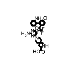 Nc1nc(OC(c2ccc(Cl)cc2-c2ccccc2N)C(F)(F)F)cc(N2CCC3(CC2)CNC(C(=O)O)C3)n1